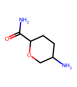 NC(=O)C1[CH]CC(N)CO1